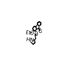 CCOc1ccc2c(c1OCCC1CCCN1)C(=O)c1ccccc1-2